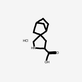 Cl.O=C(O)C1CC2(CN1)CC1CCC2C1